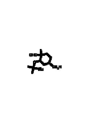 CC1(C=O)CCN(C(=O)O)CC1O[Si](C)(C)C(C)(C)C